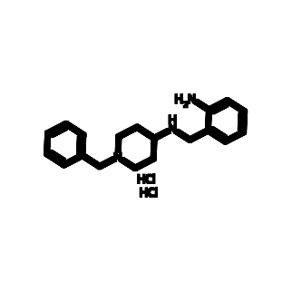 Cl.Cl.Nc1ccccc1CNC1CCN(Cc2ccccc2)CC1